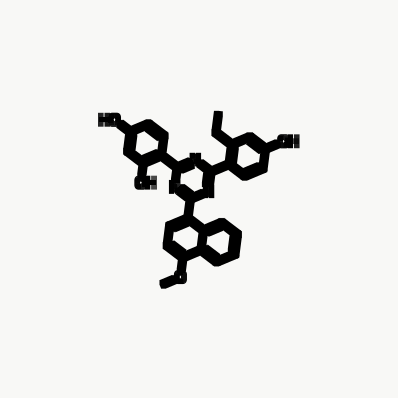 CCc1cc(O)ccc1-c1nc(-c2ccc(O)cc2O)nc(-c2ccc(OC)c3ccccc23)n1